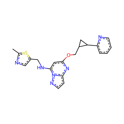 Cc1ncc(CNc2cc(OCC3CC3c3ccccn3)nc3ccnn23)s1